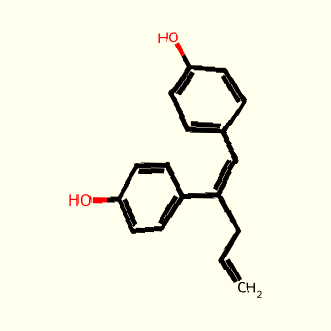 C=CCC(=Cc1ccc(O)cc1)c1ccc(O)cc1